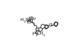 CC(C)(C)[Si](C)(C)OCCCCC1CC(=C(F)F)[C@@]2(C)CCC3c4ccc(OCc5ccccc5)cc4CCC3C12